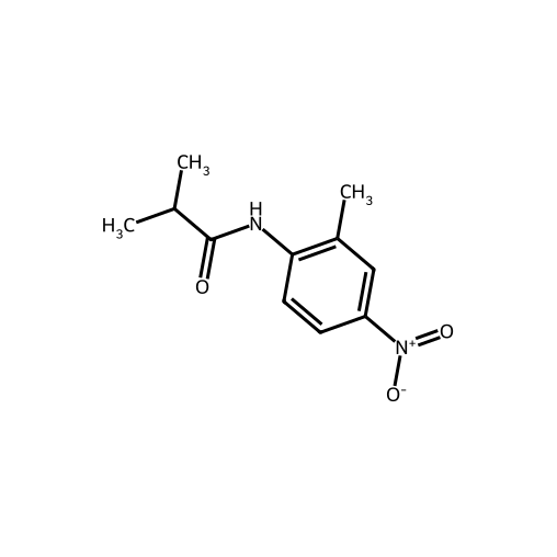 Cc1cc([N+](=O)[O-])ccc1NC(=O)C(C)C